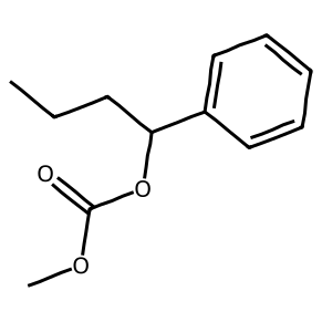 CCCC(OC(=O)OC)c1ccccc1